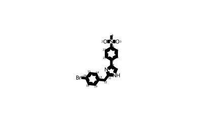 CS(=O)(=O)c1ccc(-c2c[nH]c(Cc3ccc(Br)cc3)n2)cc1